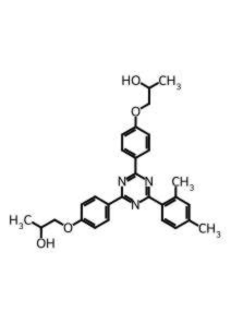 Cc1ccc(-c2nc(-c3ccc(OCC(C)O)cc3)nc(-c3ccc(OCC(C)O)cc3)n2)c(C)c1